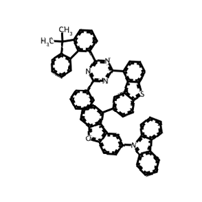 CC1(C)c2ccccc2-c2c(-c3nc(-c4ccccc4)nc(-c4cccc5sc6ccc(-c7cccc8oc9ccc(-n%10c%11ccccc%11c%11ccccc%11%10)cc9c78)cc6c45)n3)cccc21